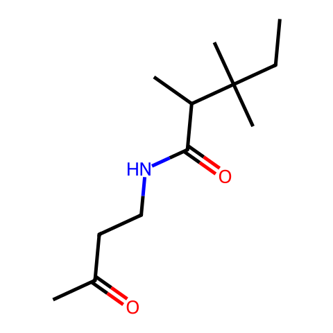 CCC(C)(C)C(C)C(=O)NCCC(C)=O